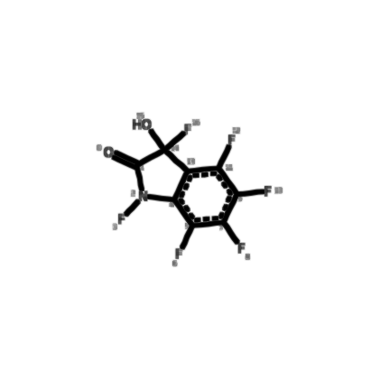 O=C1N(F)c2c(F)c(F)c(F)c(F)c2C1(O)F